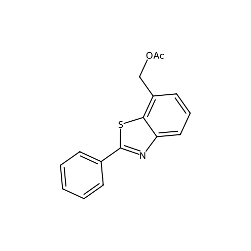 CC(=O)OCc1cccc2nc(-c3ccccc3)sc12